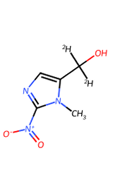 [2H]C([2H])(O)c1cnc([N+](=O)[O-])n1C